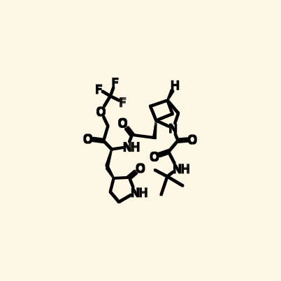 CC(C)(C)NC(=O)C(=O)N1C[C@H]2C[C@]1(CC(=O)N[C@@H](C[C@@H]1CCNC1=O)C(=O)COC(F)(F)F)C2